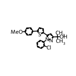 COc1ccc(-c2ccc(-c3cc(C(C)(C)O)nn3-c3ccccc3Cl)s2)cc1